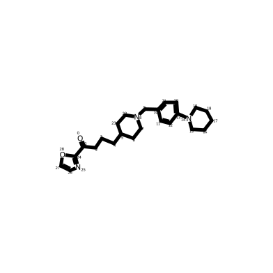 O=C(CCCC1CCN(Cc2ccc(N3CCCCC3)cc2)CC1)c1ncco1